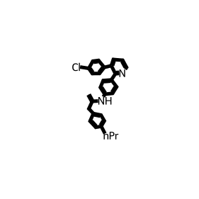 C=C(Cc1ccc(CCC)cc1)Nc1ccc(-c2ncccc2-c2ccc(Cl)cc2)cc1